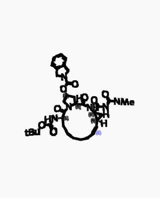 CNC(=O)NC(=O)[C@@]12C[C@H]1/C=C\CCCCC[C@H](NC(=O)OC(C)(C)C)C(=O)N1C[C@H](OC(=O)N3Cc4ccccc4C3)C[C@H]1C(=O)N2